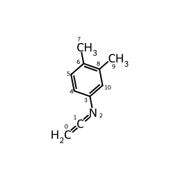 C=C=Nc1ccc(C)c(C)c1